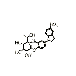 C[C@H](O)[C@H]1O[C@H](Oc2ccc(N3CCc4cc([N+](=O)[O-])ccc43)cc2Cl)[C@@H](O)[C@@H](O)[C@@H]1O